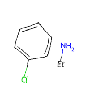 CCN.Clc1ccccc1